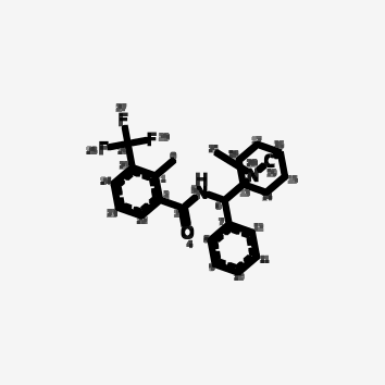 Cc1c(C(=O)NC(c2ccccc2)C23CCC(CC2)CN3C)cccc1C(F)(F)F